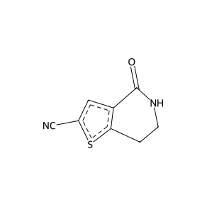 N#Cc1cc2c(s1)CCNC2=O